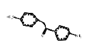 Nc1ccc(C(=O)Cc2ccc(S(=O)(=O)O)cc2)cc1